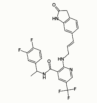 CC(NC(=O)c1cc(C(F)(F)F)cnc1NCC=Cc1ccc2c(c1)NC(=O)C2)c1ccc(F)c(F)c1